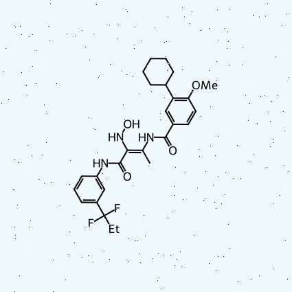 CCC(F)(F)c1cccc(NC(=O)/C(NO)=C(\C)NC(=O)c2ccc(OC)c(C3CCCCC3)c2)c1